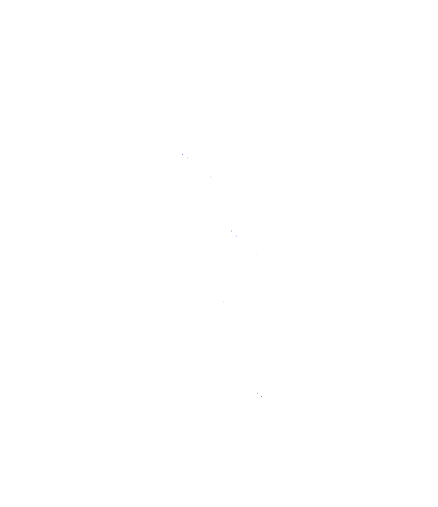 N#Cc1ccc(C(=O)/C=C/C(=O)N2CCC(N3Cc4ccccc4NC3=O)CC2)cc1